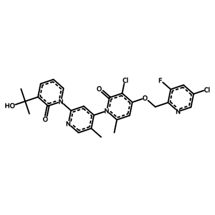 Cc1cnc(-n2cccc(C(C)(C)O)c2=O)cc1-n1c(C)cc(OCc2ncc(Cl)cc2F)c(Cl)c1=O